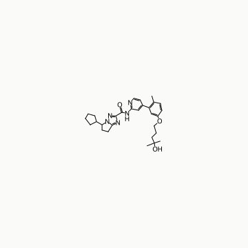 Cc1ccc(OCCCC(C)(C)O)cc1-c1ccnc(NC(=O)c2nc3n(n2)C(C2CCCC2)CC3)c1